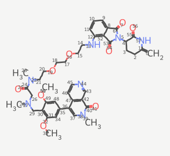 C=C1CCC(N2C(=O)c3cccc(NCCOCCOCCN(C)C(=O)CN(C)Cc4c(OC)cc(-c5cn(C)c(=O)c6cnccc56)cc4OC)c3C2=O)C(=O)N1